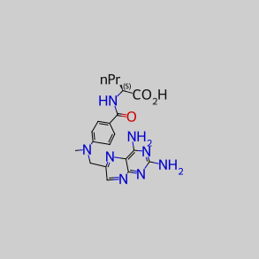 CCC[C@H](NC(=O)c1ccc(N(C)Cc2cnc3nc(N)nc(N)c3n2)cc1)C(=O)O